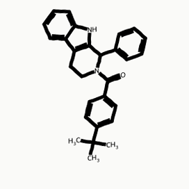 CC(C)(C)c1ccc(C(=O)N2CCc3c([nH]c4ccccc34)C2c2ccccc2)cc1